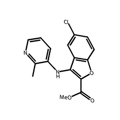 COC(=O)c1oc2ccc(Cl)cc2c1Nc1cccnc1C